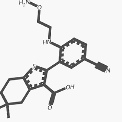 CC1(C)CCc2sc(-c3cc(C#N)ccc3NCCON)c(C(=O)O)c2C1